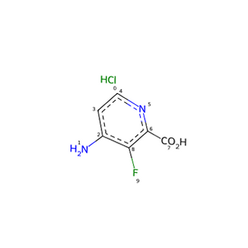 Cl.Nc1ccnc(C(=O)O)c1F